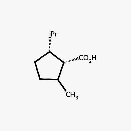 CC(C)[C@H]1CCC(C)[C@H]1C(=O)O